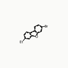 CCc1ccc2c(c1)oc1cc(Br)ccc12